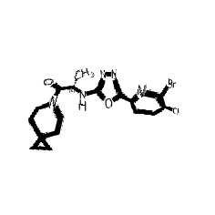 C[C@H](Nc1nnc(-c2ccc(Cl)c(Br)n2)o1)C(=O)N1CCC2(CC1)CC2